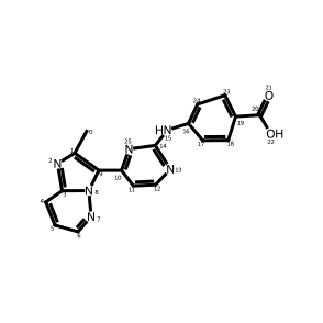 Cc1nc2cccnn2c1-c1ccnc(Nc2ccc(C(=O)O)cc2)n1